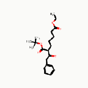 CCOC(=O)CCCCC(C(=O)Cc1ccccc1)C(=O)OC(C)(C)C